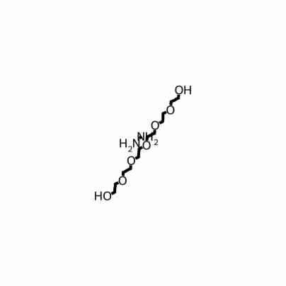 NN.OCCOCCOCCOCCOCCOCCO